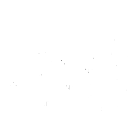 CC1(C)c2ccccc2N(c2nc(F)c(C#N)c(F)n2)c2ccccc21